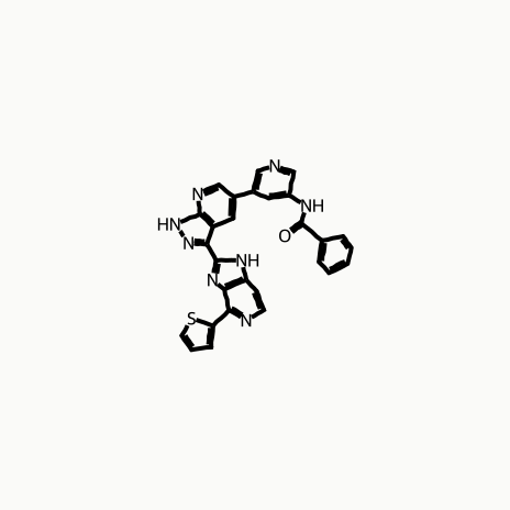 O=C(Nc1cncc(-c2cnc3[nH]nc(-c4nc5c(-c6cccs6)nccc5[nH]4)c3c2)c1)c1ccccc1